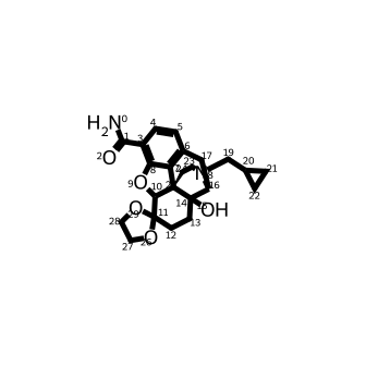 NC(=O)c1ccc2c3c1OC1C4(CCC5(O)C(C2)N(CC2CC2)CC[C@]315)OCCO4